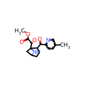 COC(=O)C(=O)C12CC(CCC1C(=O)c1ccc(C)cn1)N2